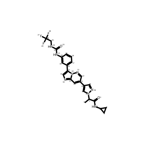 CC(C(=O)NC1CC1)n1cc(-c2cnn3c(-c4cccc(NC(=O)NCC(F)(F)F)c4)cnc3c2)cn1